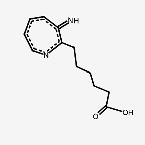 N=c1ccccnc1CCCCCC(=O)O